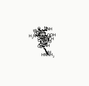 CC(C)C[C@H](NC(C)(C)C)C(=O)N[C@H](CCO)C(=O)NCC(=O)N[C@H](CCCNC(=N)N)C(=O)N[C@@H](CO)C(=O)N[C@H](CC(=O)O)C(=O)N[C@@H](CC(N)=O)C(=O)N[C@H](CCc1c[nH]cn1)C(=O)C(C)(C)C